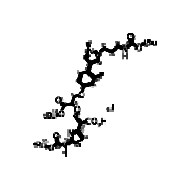 C[n+]1cc(-c2ccc(OCC(O/N=C(\C(=O)O)c3csc(NC(=O)OC(C)(C)C)n3)C(=O)OC(C)(C)C)cc2F)cn1CCCNC(=O)OC(C)(C)C.[I-]